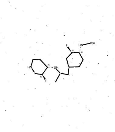 CC(CN1CC[C@@H](NC(C)(C)C)[C@H](F)C1)N[C@H]1CCNC[C@@H]1F